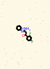 N/C(=C/C(=O)c1ccc(F)cc1F)Nc1ccccc1